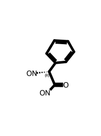 O=NC(=O)[C@H](N=O)c1ccccc1